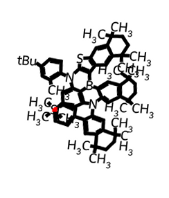 Cc1cc(C(C)(C)C)ccc1N1c2cc([Si](C)(C)C)cc3c2B(c2cc4c(cc2N3c2cc3c(cc2-c2ccccc2)C(C)(C)CCC3(C)C)C(C)(C)CCC4(C)C)c2c1sc1cc3c(cc21)C(C)(C)CCC3(C)C